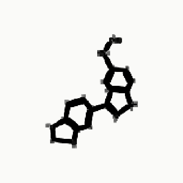 O=CNc1ccc2[nH]nc(-c3ccc4c(c3)OCO4)c2c1